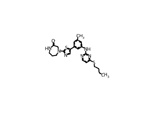 CCCCSc1ccnc(Nc2cc(C)cc(-c3cnc(N4CCCNC(=O)C4)s3)c2)n1